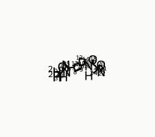 [2H]C([2H])([2H])c1nc(-c2ccc3c(c2)CC[C@H]3NC(=O)c2ocnc2C)no1